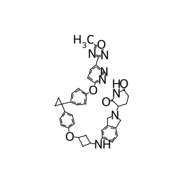 Cc1nc(-c2ccc(Oc3ccc(C4(c5ccc(OC6CC(Nc7ccc8c(c7)CN(C7CCC(=O)NC7=O)C8)C6)cc5)CC4)cc3)nn2)no1